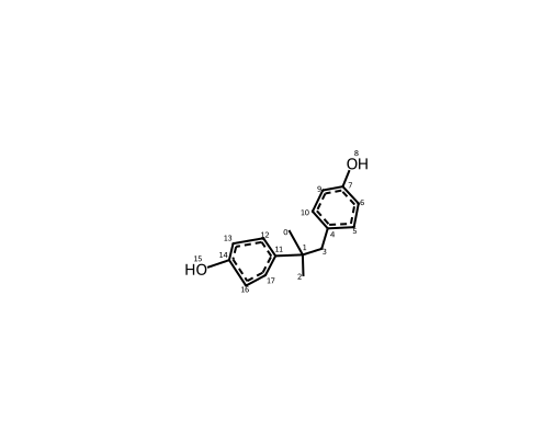 CC(C)(Cc1ccc(O)cc1)c1ccc(O)cc1